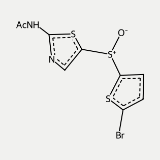 CC(=O)Nc1ncc([S+]([O-])c2ccc(Br)s2)s1